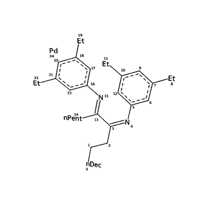 CCCCCCCCCCCCC(=Nc1cc(CC)cc(CC)c1)C(CCCCC)=Nc1cc(CC)cc(CC)c1.[Pd]